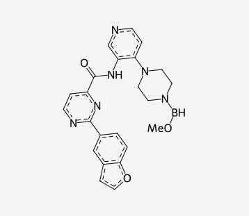 COBN1CCN(c2ccncc2NC(=O)c2ccnc(-c3ccc4occc4c3)n2)CC1